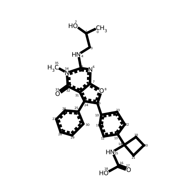 CC(O)CNc1nc2oc(-c3ccc(C4(NC(=O)O)CCC4)cc3)c(-c3ccccc3)c2c(=O)n1C